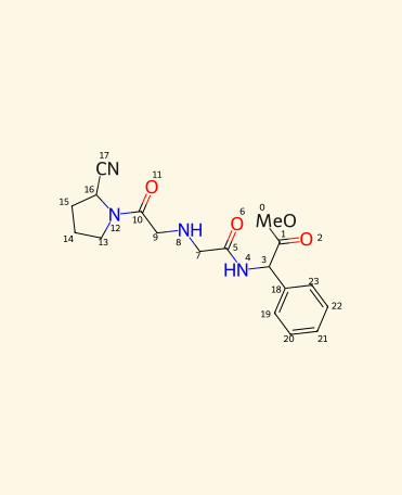 COC(=O)C(NC(=O)CNCC(=O)N1CCCC1C#N)c1ccccc1